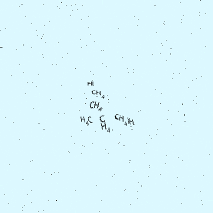 C.C.C.C.C.I.I